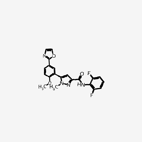 COc1ccc(-c2ncco2)cc1-c1cc(C(=O)Nc2c(F)cccc2F)nn1C